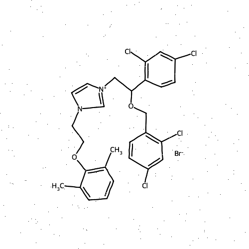 Cc1cccc(C)c1OCCn1cc[n+](CC(OCc2ccc(Cl)cc2Cl)c2ccc(Cl)cc2Cl)c1.[Br-]